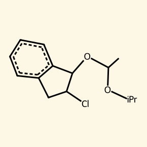 CC(C)OC(C)OC1c2ccccc2CC1Cl